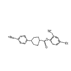 CCCCc1ccc(C2CCC(C(=O)Oc3ccc(CC)cc3C#N)CC2)cc1